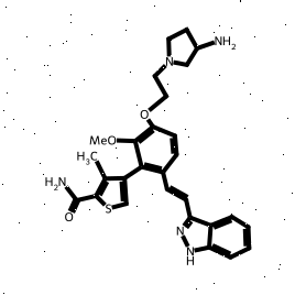 COc1c(OCCN2CCC(N)C2)ccc(C=Cc2n[nH]c3ccccc23)c1-c1csc(C(N)=O)c1C